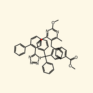 COC(=O)c1ccc(Cc2c(C)nc(OC)nc2-c2ccc(-c3ccccc3)c(-c3nnnn3C(c3ccccc3)(c3ccccc3)c3ccccc3)c2)cc1